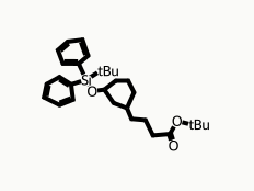 CC(C)(C)OC(=O)CCCC1CCCC(O[Si](c2ccccc2)(c2ccccc2)C(C)(C)C)C1